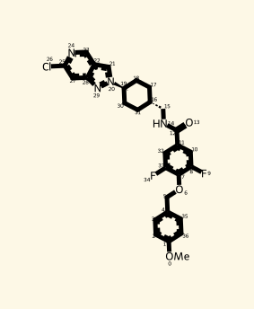 COc1ccc(COc2c(F)cc(C(=O)NC[C@H]3CC[C@H](n4cc5cnc(Cl)cc5n4)CC3)cc2F)cc1